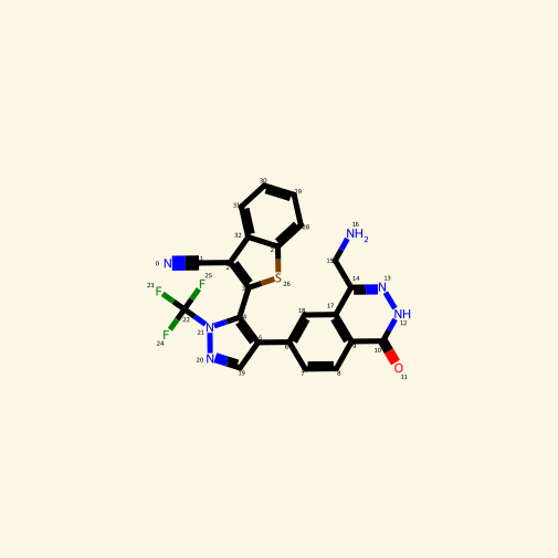 N#Cc1c(-c2c(-c3ccc4c(=O)[nH]nc(CN)c4c3)cnn2C(F)(F)F)sc2ccccc12